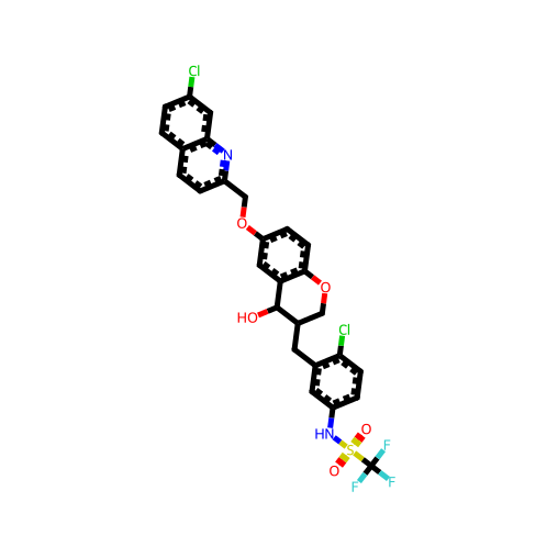 O=S(=O)(Nc1ccc(Cl)c(CC2COc3ccc(OCc4ccc5ccc(Cl)cc5n4)cc3C2O)c1)C(F)(F)F